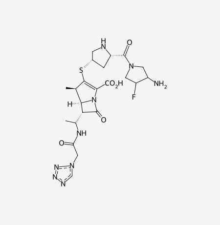 CC(NC(=O)Cn1cnnn1)[C@H]1C(=O)N2C(C(=O)O)=C(S[C@@H]3CN[C@H](C(=O)N4CC(N)C(F)C4)C3)[C@H](C)[C@H]12